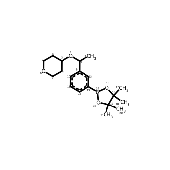 CC(OC1CCOCC1)c1cccc(B2OC(C)(C)C(C)(C)O2)c1